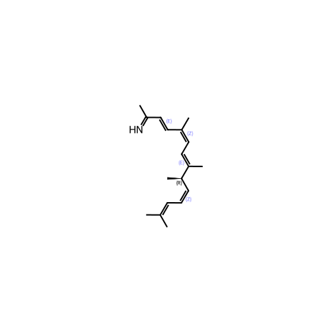 CC(=N)/C=C/C(C)=C\C=C(/C)[C@H](C)/C=C\C=C(C)C